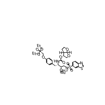 CCOP(=O)(COc1ccc(C[C@H](NC(=O)O[C@H]2CO[C@H]3OCC[C@H]32)[C@H](O)CN(C[C@@H](C)CC)S(=O)(=O)c2ccc3ncsc3c2)cc1)OCC